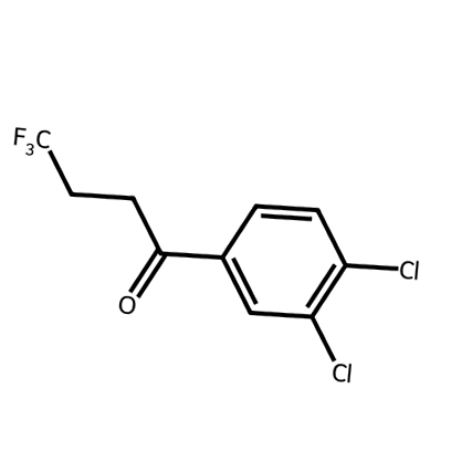 O=C(CCC(F)(F)F)c1ccc(Cl)c(Cl)c1